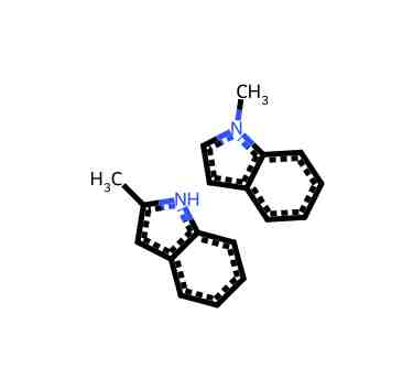 Cc1cc2ccccc2[nH]1.Cn1ccc2ccccc21